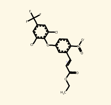 CCOC(=O)/C=C/c1cc(Oc2c(Cl)cc(C(F)(F)F)cc2Cl)ccc1[N+](=O)[O-]